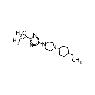 CC[C@H]1CC[C@H](N2CCN(c3cnc(C(C)C)nc3)CC2)CC1